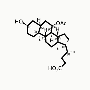 CC(=O)O[C@H]1C[C@@H]2C[C@H](O)CC[C@]2(C)[C@H]2CC[C@]3(C)[C@@H]([C@H](C)CCC(=O)O)CC[C@H]3[C@H]12